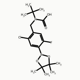 CC(C)(C)N(Cc1cc(F)c(B2OC(C)(C)C(C)(C)O2)cc1Cl)C(=O)O